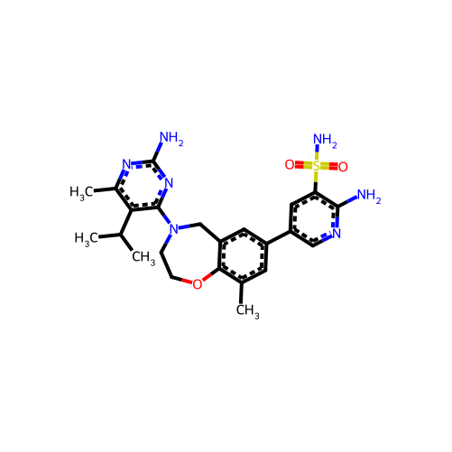 Cc1cc(-c2cnc(N)c(S(N)(=O)=O)c2)cc2c1OCCN(c1nc(N)nc(C)c1C(C)C)C2